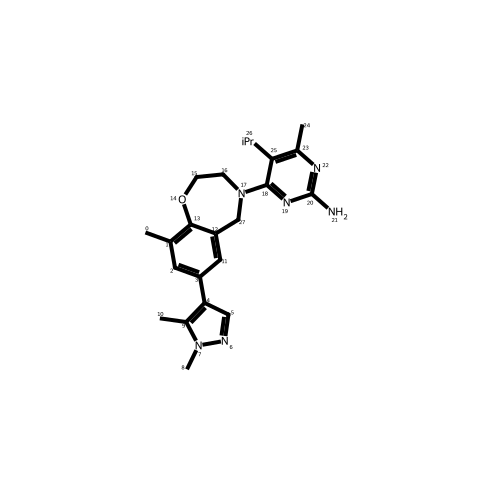 Cc1cc(-c2cnn(C)c2C)cc2c1OCCN(c1nc(N)nc(C)c1C(C)C)C2